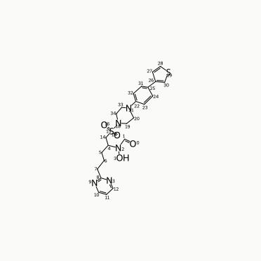 O=CN(O)C(CCCc1ncccn1)CS(=O)(=O)N1CCN(c2ccc(-c3ccsc3)cc2)CC1